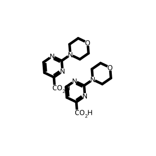 O=C(O)c1ccnc(N2CCOCC2)n1.O=C(O)c1ccnc(N2CCOCC2)n1